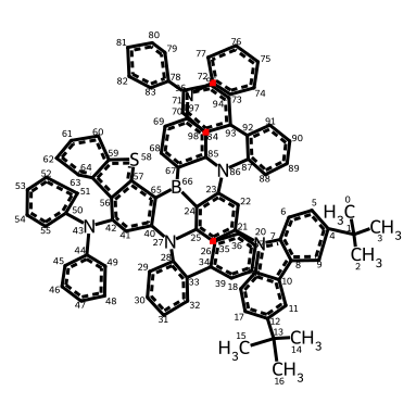 CC(C)(C)c1ccc2c(c1)c1cc(C(C)(C)C)ccc1n2-c1cc2c3c(c1)N(c1ccccc1-c1ccccc1)c1cc(N(c4ccccc4)c4ccccc4)c4c(sc5ccccc54)c1B3c1ccc(N(c3ccccc3)c3ccccc3)cc1N2c1ccccc1-c1ccccc1